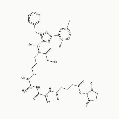 CC(C)[C@H](NC(=O)CCCC(=O)ON1C(=O)CCC1=O)C(=O)N[C@@H](C)C(=O)NCCCN(C(=O)CO)[C@@H](c1nc(-c2cc(F)ccc2F)cn1Cc1ccccc1)C(C)(C)C